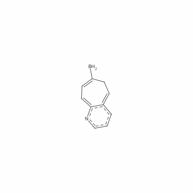 BC1=CC=c2ncccc2=CC1